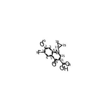 COc1cc2c(cc1F)c(=O)c(C(=O)O)cn2C1CC1